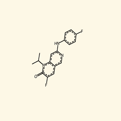 CC(C)n1c(=O)c(F)cc2cnc(Nc3ccc(F)cc3)cc21